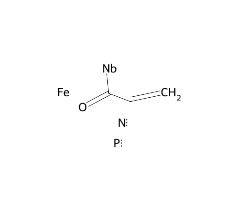 C=C[C](=O)[Nb].[Fe].[N].[P]